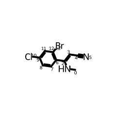 CN/C(=C\C#N)c1ccc(Cl)cc1Br